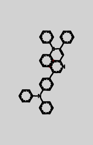 C(=C(/B(c1ccccc1)c1ccccc1)c1ccccc1)/c1ccc(-c2ccc(N(c3ccccc3)c3ccccc3)cc2)cn1